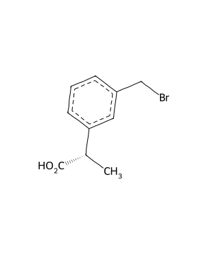 C[C@H](C(=O)O)c1cccc(CBr)c1